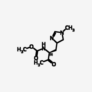 COC(=O)N[C@@H](CC1CN(C)C=N1)C(C)=O